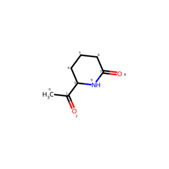 CC(=O)C1CCCC(=O)N1